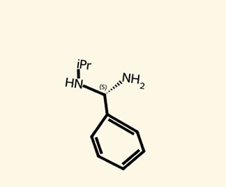 CC(C)N[C@H](N)c1ccccc1